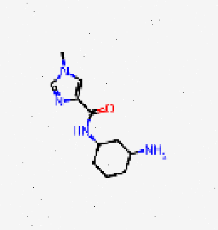 Cn1cnc(C(=O)N[C@@H]2CCC[C@H](N)C2)c1